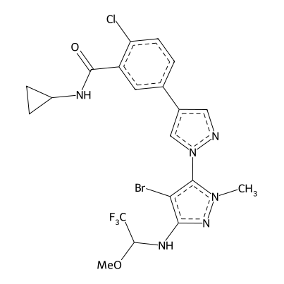 COC(Nc1nn(C)c(-n2cc(-c3ccc(Cl)c(C(=O)NC4CC4)c3)cn2)c1Br)C(F)(F)F